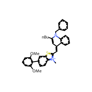 CCCCC1=CC(=Cc2sc3cc(-c4c(OC)cccc4OC)ccc3[n+]2C)c2ccccc2N1Cc1ccccc1